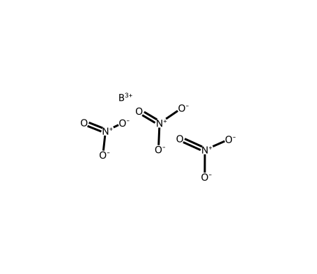 O=[N+]([O-])[O-].O=[N+]([O-])[O-].O=[N+]([O-])[O-].[B+3]